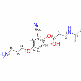 CC(C)NCCC(O)Oc1ccc(OCCCN)cc1C#N